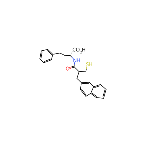 O=C(N[C@H](CCc1ccccc1)C(=O)O)C(CS)Cc1ccc2ccccc2c1